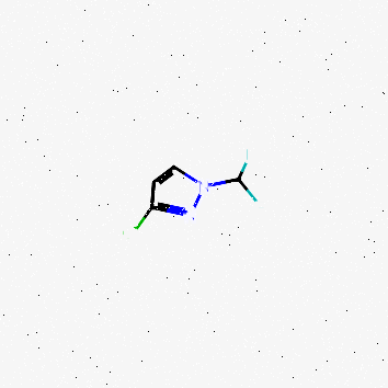 FC(F)n1ccc(Cl)n1